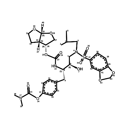 CC(C)CN(C[C@@H](O)[C@H](Cc1ccc(OC(=O)N(C)C)cc1)NC(=O)O[C@H]1CO[C@H]2OCC[C@H]21)S(=O)(=O)c1ccc2c(c1)OCO2